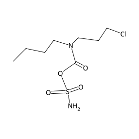 CCCCN(CCCCl)C(=O)OS(N)(=O)=O